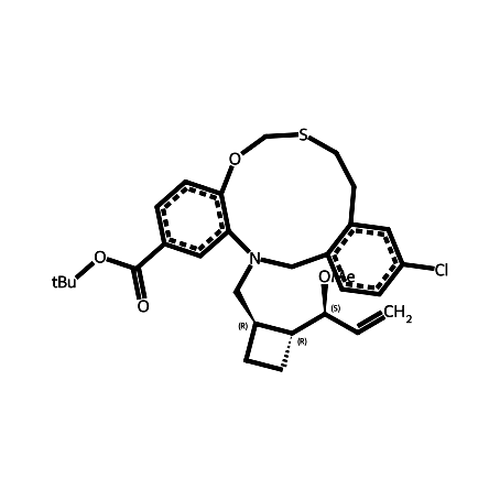 C=C[C@H](OC)[C@@H]1CC[C@H]1CN1Cc2ccc(Cl)cc2CCSCOc2ccc(C(=O)OC(C)(C)C)cc21